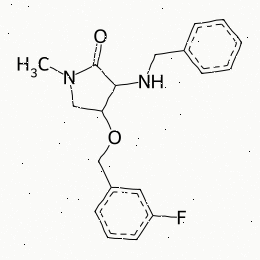 CN1CC(OCc2cccc(F)c2)C(NCc2ccccc2)C1=O